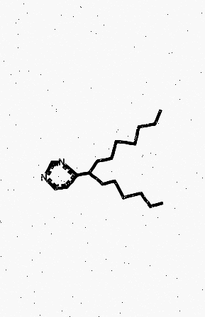 CCCCCCCC(CCCCCC)c1ccncn1